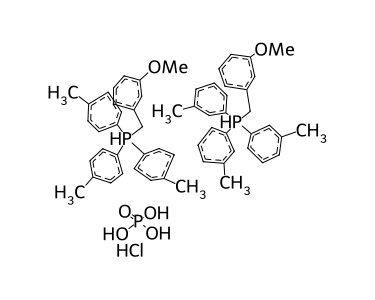 COc1cccc(C[PH](c2ccc(C)cc2)(c2ccc(C)cc2)c2ccc(C)cc2)c1.COc1cccc(C[PH](c2cccc(C)c2)(c2cccc(C)c2)c2cccc(C)c2)c1.Cl.O=P(O)(O)O